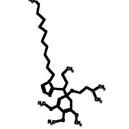 CCCCCCCCCCCCn1ccnc1C(CCC)C1(OCCN(C)C)C=C(OC)C(OC)=C(OC)C1